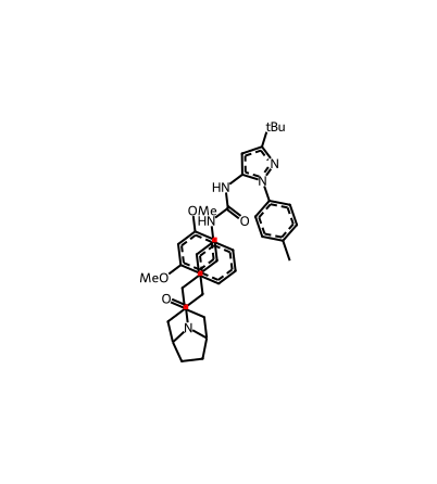 COc1ccc(CC(=O)N2C3CCC2CC(Cc2cccc(NC(=O)Nc4cc(C(C)(C)C)nn4-c4ccc(C)cc4)c2)C3)c(OC)c1